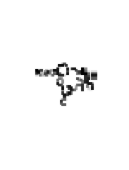 COc1ccc(Cc2ccc(=O)[nH]n2)cc1Oc1cc(Cl)cc(Cl)c1